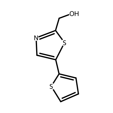 OCc1ncc(-c2cccs2)s1